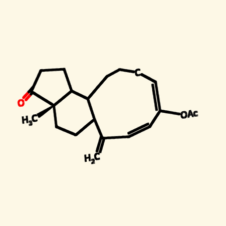 C=C1/C=C\C(OC(C)=O)=C/CCCC2C1CC[C@]1(C)C(=O)CCC21